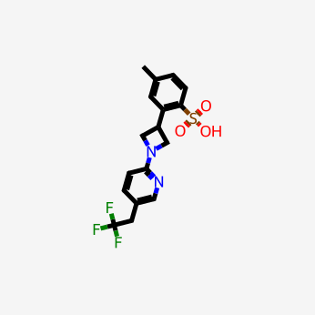 Cc1ccc(S(=O)(=O)O)c(C2CN(c3ccc(CC(F)(F)F)cn3)C2)c1